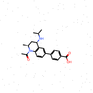 CC(=O)N1c2ccc(-c3ccc(C(=O)O)cc3)cc2[C@H](NC(C)C)C[C@@H]1C